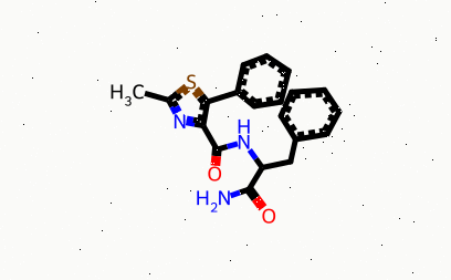 Cc1nc(C(=O)NC(Cc2ccccc2)C(N)=O)c(-c2ccccc2)s1